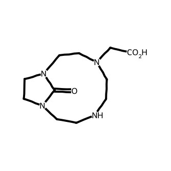 O=C(O)CN1CCNCCN2CCN(CC1)C2=O